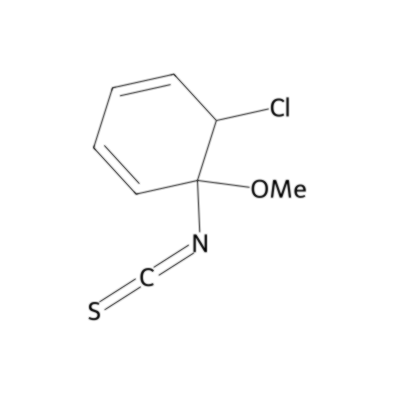 COC1(N=C=S)C=CC=CC1Cl